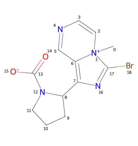 C[N+]12C=CN=CC1=C(C1CCCN1C(=O)[O-])N=C2Br